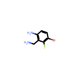 NCc1c(N)ccc(Br)c1F